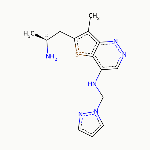 Cc1c(C[C@H](C)N)sc2c(NCn3cccn3)cnnc12